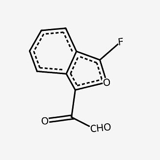 O=CC(=O)c1oc(F)c2ccccc12